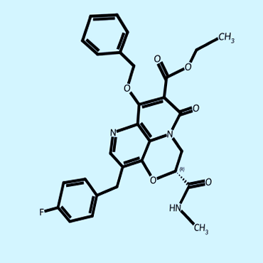 CCOC(=O)c1c(OCc2ccccc2)c2ncc(Cc3ccc(F)cc3)c3c2n(c1=O)C[C@H](C(=O)NC)O3